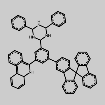 C1=CC2=c3ccccc3=C(c3cc(-c4ccc5c(c4)-c4ccccc4C54c5ccccc5-c5ccccc54)cc(C4NC(c5ccccc5)NC(c5ccccc5)N4)c3)NC2C=C1